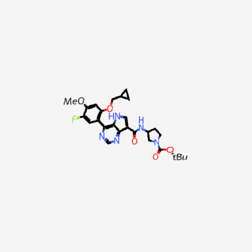 COc1cc(OCC2CC2)c(-c2ncnc3c(C(=O)NC4CCN(C(=O)OC(C)(C)C)C4)c[nH]c23)cc1F